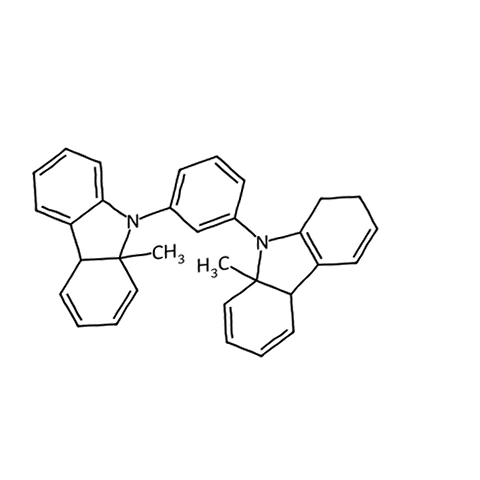 CC12C=CC=CC1C1=C(CCC=C1)N2c1cccc(N2c3ccccc3C3C=CC=CC32C)c1